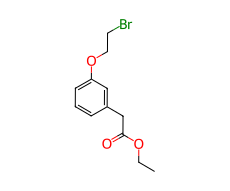 CCOC(=O)Cc1cccc(OCCBr)c1